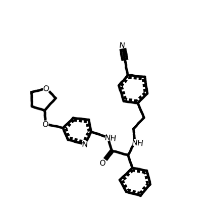 N#Cc1ccc(CCNC(C(=O)Nc2ccc(OC3CCOC3)cn2)c2ccccc2)cc1